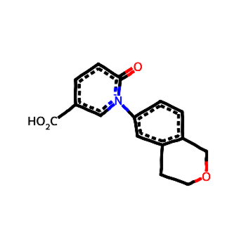 O=C(O)c1ccc(=O)n(-c2ccc3c(c2)CCOC3)c1